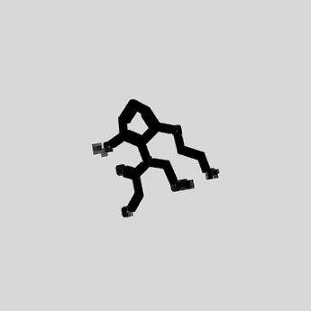 Cc1cccc(OCCC(C)C)c1N(COCC(C)C)C(=O)CCl